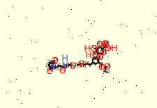 CCC(=O)OCc1cc(CCCOCCOCCNC(=O)CCN2C(=O)C=CC2=O)ccc1O[C@@H]1O[C@H](C(=O)O)[C@@H](O)[C@H](O)[C@H]1O